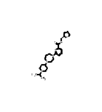 CC(C)N1CCC(N2CCCN(c3cccc(C(=O)NC[C@H]4CCCO4)n3)CC2)CC1